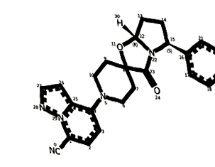 N#Cc1ccc(N2CCC3(CC2)O[C@@H]2CC[C@@H](c4ccccc4)N2C3=O)c2ccnn12